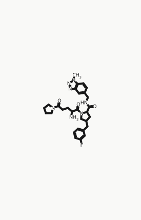 Cn1nnc2cc(CNC(=O)C3CC(Cc4cccc(F)c4)CN3C(=O)C(N)CCC(=O)N3CCCC3)ccc21